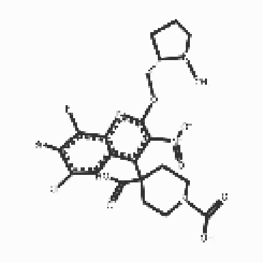 CN1CCC[C@H]1COc1nc2c(F)c(Br)c(Cl)cc2c(C2(C(=O)O)CCN(C(=O)O)CC2)c1[N+](=O)[O-]